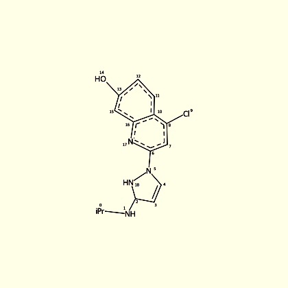 CC(C)NC1C=CN(c2cc(Cl)c3ccc(O)cc3n2)N1